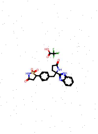 O=C(O)C(F)(F)F.O=C1CCC(Cc2ccc(C3CC(=O)NS3(=O)=O)cc2)(c2nc3ccccc3[nH]2)N1